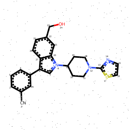 N#Cc1cccc(-c2cn(C3CCN(c4nccs4)CC3)c3cc(CO)ccc23)c1